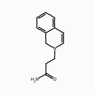 NC(=O)CCN1C=Cc2ccccc2C1